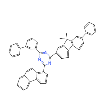 CC1(C)c2cc(-c3ccccc3)ccc2-c2ccc(-c3nc(-c4cccc(-c5ccccc5)c4)nc(-c4cccc5c4ccc4ccccc45)n3)cc21